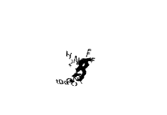 Cc1c(N)cc(C(F)F)cc1CN1CCN(C(=O)OC(C)(C)C)[C@@H](C)C1